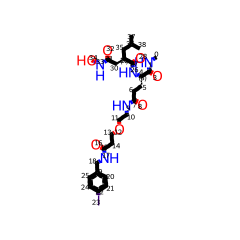 CNC(=O)[C@H](CCC(=O)NCCOCCC(=O)NCc1ccc(I)cc1)NC(=O)[C@@H](CC(=O)NO)CC(C)C